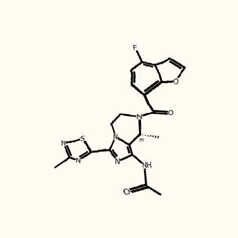 CC(=O)Nc1nc(-c2nc(C)ns2)n2c1[C@@H](C)N(C(=O)c1ccc(F)c3ccoc13)CC2